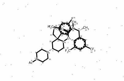 CC(=O)N1CCN([C@H]2CCN(OC(=O)N(C)[C@H](C)c3cc(C(F)(F)F)cc(C(F)(F)F)c3)[C@@](CS(=O)(=O)O)(c3ccc(F)cc3C)C2)CC1